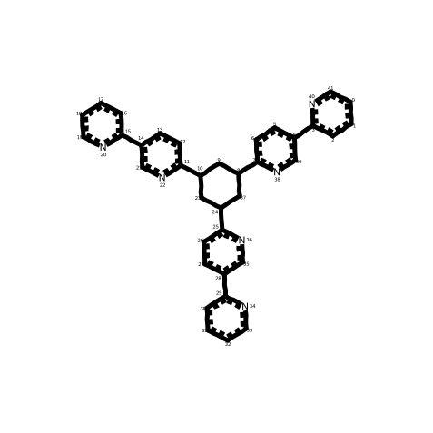 c1ccc(-c2ccc(C3CC(c4ccc(-c5ccccn5)cn4)CC(c4ccc(-c5ccccn5)cn4)C3)nc2)nc1